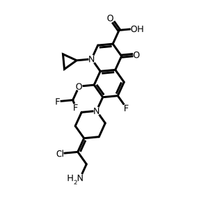 NCC(Cl)=C1CCN(c2c(F)cc3c(=O)c(C(=O)O)cn(C4CC4)c3c2OC(F)F)CC1